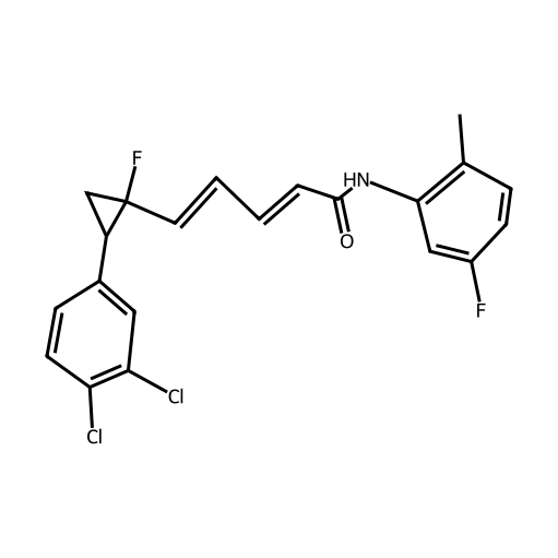 Cc1ccc(F)cc1NC(=O)/C=C/C=C/C1(F)CC1c1ccc(Cl)c(Cl)c1